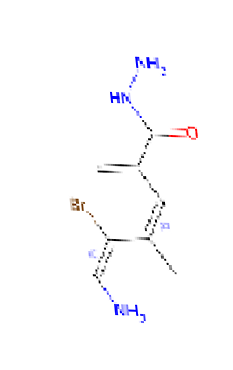 C=C(/C=C(C)\C(Br)=C/N)C(=O)NN